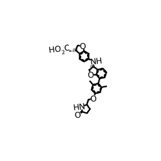 Cc1cc(OCC2CCC(=O)N2)cc(C)c1-c1cccc2c1OC[C@H]2Nc1ccc2c(c1)OC[C@H]2CC(=O)O